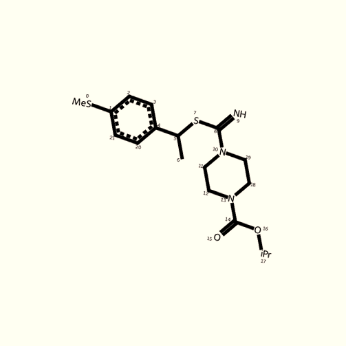 CSc1ccc(C(C)SC(=N)N2CCN(C(=O)OC(C)C)CC2)cc1